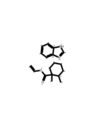 C=COC(=O)C1(C)CCCCC1C.c1ccc2[nH]cnc2c1